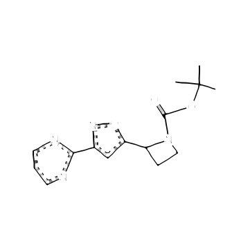 CC(C)(C)OC(=O)N1CCC1c1cc(-c2ncccn2)no1